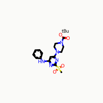 CC(C)(C)OC(=O)N1CCN(c2cc(Nc3ccccc3)nc(S(C)(=O)=O)n2)CC1